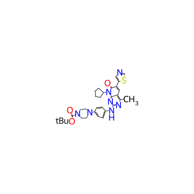 Cc1nc(Nc2ccc(N3CCN(C(=O)OC(C)(C)C)CC3)cc2)nc2c1cc(-c1cncs1)c(=O)n2C1CCCC1